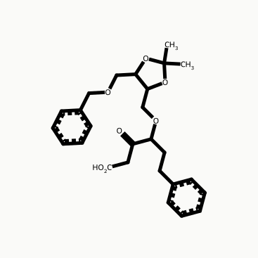 CC1(C)OC(COCc2ccccc2)C(COC(CCc2ccccc2)C(=O)CC(=O)O)O1